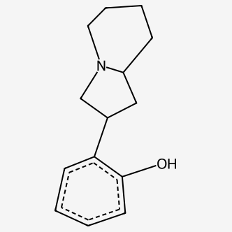 Oc1ccccc1C1CC2CCCCN2C1